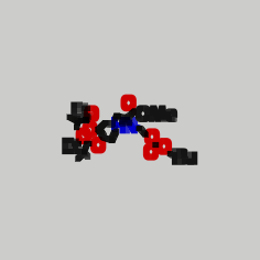 CCC(C)COC(=O)OCCN[C@@H](Cc1ccc(OC(=O)C(C)(C)CC)c(OC(=O)C(C)(C)CC)c1)C(=O)OC